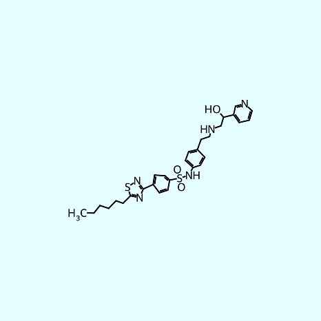 CCCCCCc1nc(-c2ccc(S(=O)(=O)Nc3ccc(CCNCC(O)c4cccnc4)cc3)cc2)ns1